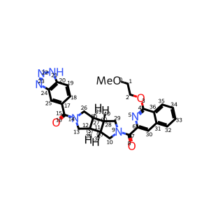 COCCOc1nc(C(=O)N2C[C@@H]3[C@H]4CN(C(=O)c5ccc6[nH]nnc6c5)C[C@H]4[C@@H]3C2)cc2ccccc12